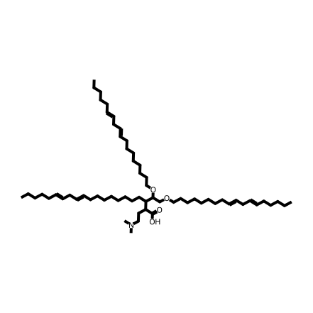 CCCCCC=CCC=CCCCCCCCCOCC(OCCCCCCCCC=CCC=CCCCCC)C(CCCCCCCCC=CCC=CCCCCC)C(CCN(C)C)C(=O)O